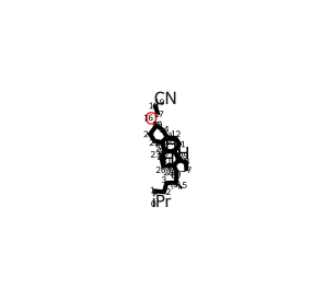 CC(C)CCC[C@H](C)[C@H]1CC[C@@H]2[C@@H]3CC=C4C[C@@H](OCCC#N)CC[C@]4(C)[C@@H]3CC[C@@]21C